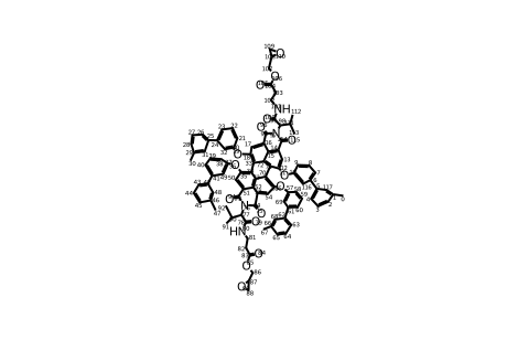 Cc1cccc(-c2cccc(Oc3cc4c5c(cc(Oc6cccc(-c7cccc(C)c7)c6)c6c7c(Oc8cccc(-c9cccc(C)c9)c8)cc8c9c(cc(Oc%10cccc(-c%11cccc(C)c%11)c%10)c(c3c56)c97)C(=O)N(C(C(=O)NCCC(=O)OCC3CO3)C(C)C)C8=O)C(=O)N(C(C(=O)NCCC(=O)OCC3CO3)C(C)C)C4=O)c2)c1